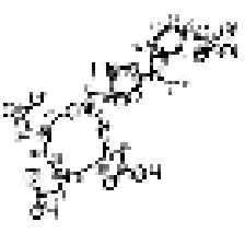 CCNC(=O)[C@@H](Cc1ccc(OS(=O)(=O)O)cc1)NC(=O)CN1CCN(CC(=O)O)CCN(CC(=O)O)CCN(CC(=O)O)CC1